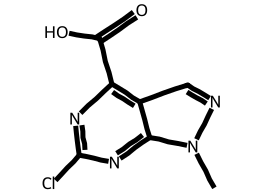 Cn1ncc2c(C(=O)O)nc(Cl)nc21